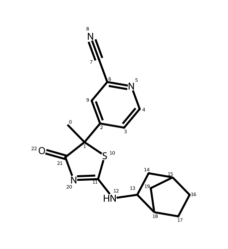 CC1(c2ccnc(C#N)c2)SC(NC2CC3CCC2C3)=NC1=O